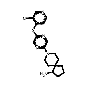 N[C@@H]1CCCC12CCN(c1cnc(Sc3ccncc3Cl)cn1)CC2